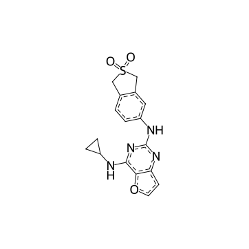 O=S1(=O)Cc2ccc(Nc3nc(NC4CC4)c4occc4n3)cc2C1